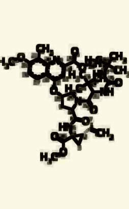 C=C[C@@H]1C[C@]1(NC(=O)C1C[C@@H](Oc2cc(C(=O)OC)nc3c(C)c(OC)ccc23)CN1C(=O)C(NC(=O)NC(C)(C)C)C(C)(C)C)C(=O)OC